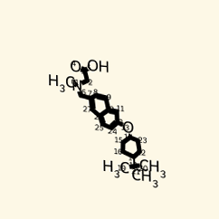 CN(CC(=O)O)Cc1ccc2cc(O[C@H]3CC[C@H](C(C)(C)C)CC3)ccc2c1